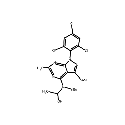 CCCCN(c1nc(C)nc2c1c(SC)nn2-c1c(Cl)cc(Cl)cc1Cl)C(C)O